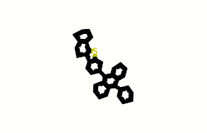 c1ccc(-c2c3ccccc3c(-c3ccc4c(c3)sc3c5ccccc5ccc43)c3ccccc23)cc1